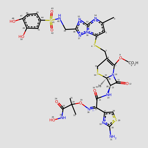 Cc1cc(SCC2=C(OC(=O)O)N3C(=O)[C@@H](NC(=O)/C(=N\OC(C)(C)C(=O)NO)c4csc(N)n4)[C@H]3SC2)n2nc(CNS(=O)(=O)c3ccc(O)c(O)c3)nc2n1